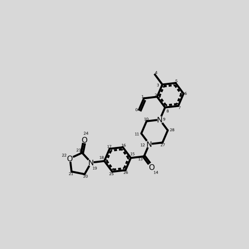 C=Cc1c(C)cccc1N1CCN(C(=O)c2ccc(N3CCOC3=O)cc2)CC1